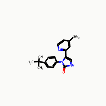 CC(C)(C#N)c1ccc(-n2c(-c3cc([SiH3])ccn3)c[nH]c2=O)cc1